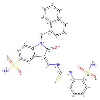 NS(=O)(=O)c1ccc2c(c1)C(=NNC(=S)Nc1ccccc1S(N)(=O)=O)C(=O)N2Cc1cccc2ccccc12